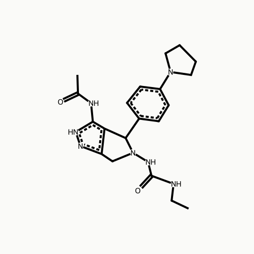 CCNC(=O)NN1Cc2n[nH]c(NC(C)=O)c2C1c1ccc(N2CCCC2)cc1